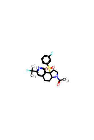 O=C(N1CCC2(S(=O)(=O)c3cccc(F)c3)c3cnc(C(F)(C(F)(F)F)C(F)(F)F)cc3CCC12)C(F)(F)F